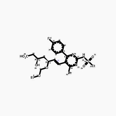 CCOCO[C@H](/C=C/c1c(-c2ccc(F)cc2)nc(NS(=O)(=O)CC)nc1C(C)C)C[C@@H](O)CC(=O)O